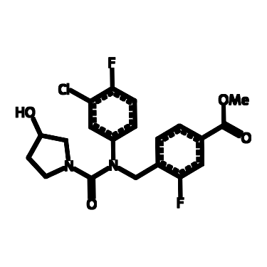 COC(=O)c1ccc(CN(C(=O)N2CCC(O)C2)c2ccc(F)c(Cl)c2)c(F)c1